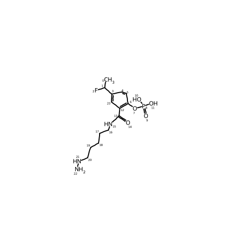 CC(F)c1ccc(OP(=O)(O)O)c(C(=O)NCCCCCNN)c1